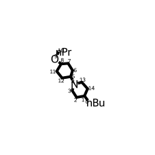 CCCCC1CCN(C2CCC(OCCC)CC2)CC1